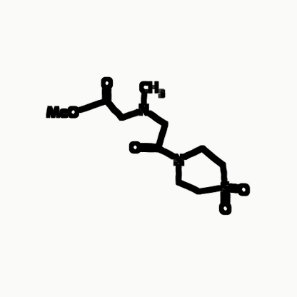 COC(=O)CN(C)CC(=O)N1CCS(=O)(=O)CC1